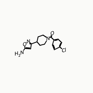 Nc1cc(C2CCN(C(=O)c3ccc(Cl)cc3)CC2)no1